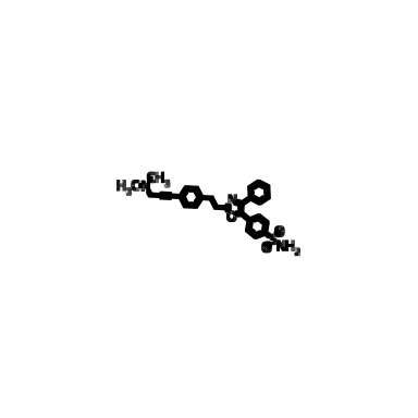 CN(C)CC#Cc1ccc(CCc2nc(-c3ccccc3)c(-c3ccc(S(N)(=O)=O)cc3)o2)cc1